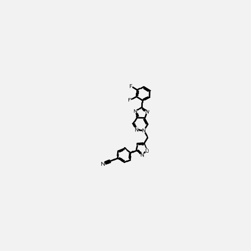 N#Cc1ccc(-c2cc(Cn3cc4nc(-c5cccc(F)c5F)nc-4cn3)on2)cc1